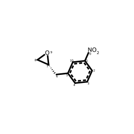 O=[N+]([O-])c1cccc(C[C@@H]2CO2)c1